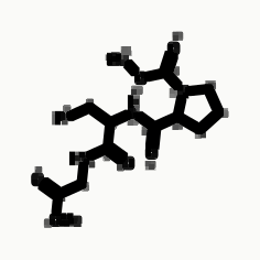 COC(=O)CNC(=O)C(CC(C)C)NC(=O)C1CCCN1C(=O)OC(C)(C)C